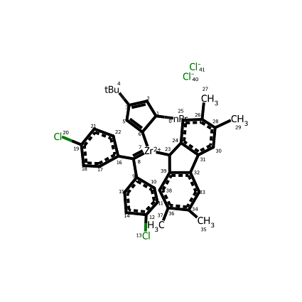 CCCC1C=C(C(C)(C)C)C=[C]1[Zr+2](=[C](c1ccc(Cl)cc1)c1ccc(Cl)cc1)[CH]1c2cc(C)c(C)cc2-c2cc(C)c(C)cc21.[Cl-].[Cl-]